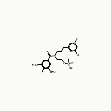 COc1cc(C(=O)N(CCCc2cc(Cl)cc(Cl)c2)CCO[Si](C)(C)C(C)(C)C)cc(OC)c1C